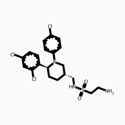 NCCS(=O)(=O)NC[C@@H]1CC[C@@H](c2ccc(Cl)cc2Cl)N(c2ccc(Cl)cc2)C1